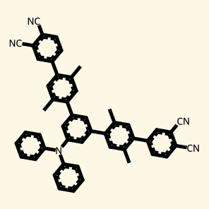 Cc1cc(-c2ccc(C#N)c(C#N)c2)c(C)cc1-c1cc(-c2cc(C)c(-c3ccc(C#N)c(C#N)c3)cc2C)cc(N(c2ccccc2)c2ccccc2)c1